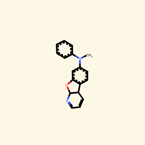 CN(c1ccccc1)c1ccc2c(c1)OC1N=CC=CC21